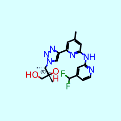 Cc1cc(Nc2cc(C(F)F)ccn2)nc(-c2cn([C@@H](C)[C@](C)(O)CO)nn2)c1